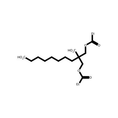 CCC(=O)OCC(CCCCCCCC(=O)O)(COC(=O)CC)C(=O)O